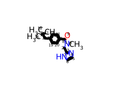 CN(Cc1ncc[nH]1)C(=O)c1ccc(CC(C)(C)C)cc1